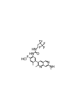 CNc1cc2nc(C)c(-c3cc(NC(=O)NCCC4(C(F)(F)F)CC4)c(F)cc3C)cc2cn1.Cl